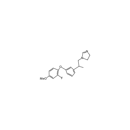 COc1ccc(Oc2cccc(C(C)CN3C=NCC3)c2)c(F)c1